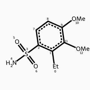 CCc1c(S(N)(=O)=O)ccc(OC)c1OC